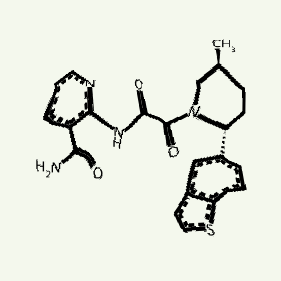 C[C@H]1CC[C@H](c2ccc3sccc3c2)N(C(=O)C(=O)Nc2ncccc2C(N)=O)C1